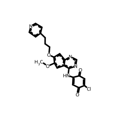 COc1cc2c(NC3=CC(=O)C(Cl)=CC3=O)ncnc2cc1OCCCc1ccncc1